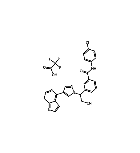 N#CCC(c1cccc(C(=O)Nc2ccc(Cl)cc2)c1)n1cc(C2=C3C=CN=C3CC=N2)cn1.O=C(O)C(F)(F)F